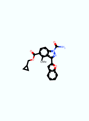 COc1c(C(=O)OCC2CC2)ccc2c1c(-c1cc3ccccc3o1)nn2C(N)=O